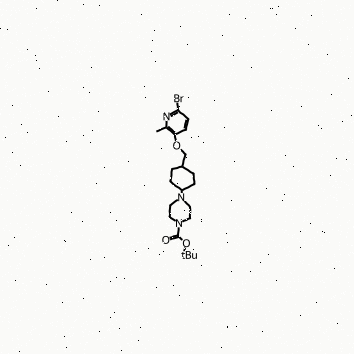 Cc1nc(Br)ccc1OCC1CCC(N2CCN(C(=O)OC(C)(C)C)CC2)CC1